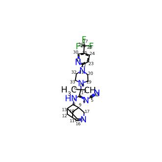 CC(C)(C(=NC#N)NC1C2CC3CC1CN(C3)C2)N1CCN(c2ccc(C(F)(F)F)cn2)CC1